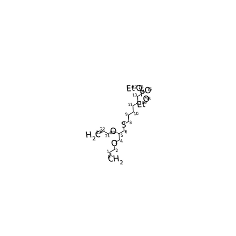 C=CCOCC(CSCCCCCCP(=O)(OCC)OCC)OCC=C